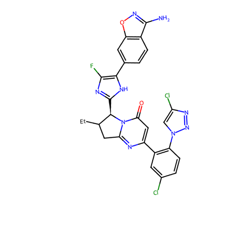 CCC1Cc2nc(-c3cc(Cl)ccc3-n3cc(Cl)nn3)cc(=O)n2[C@@H]1c1nc(F)c(-c2ccc3c(N)noc3c2)[nH]1